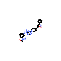 CC(=O)Nc1cccc(Nc2ncnc(N3CCC(c4cc(-c5ccccc5)no4)CC3)n2)c1